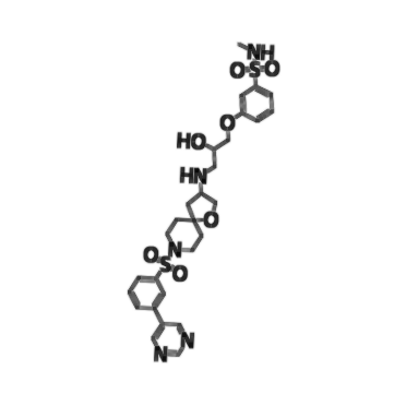 CNS(=O)(=O)c1cccc(OCC(O)CNC2COC3(CCN(S(=O)(=O)c4cccc(-c5cncnc5)c4)CC3)C2)c1